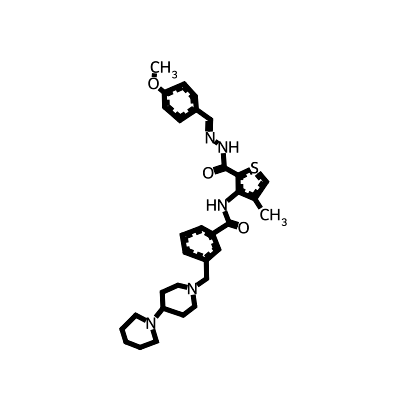 COc1ccc(C=NNC(=O)c2scc(C)c2NC(=O)c2cccc(CN3CCC(N4CCCCC4)CC3)c2)cc1